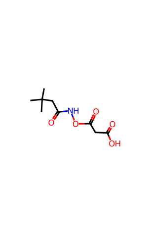 CC(C)(C)CC(=O)NOC(=O)CC(=O)O